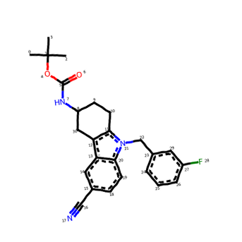 CC(C)(C)OC(=O)NC1CCc2c(c3cc(C#N)ccc3n2Cc2cccc(F)c2)C1